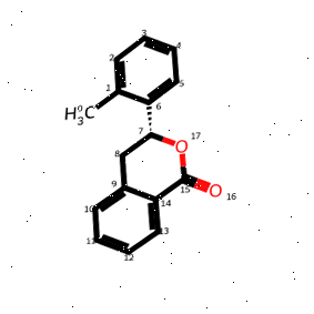 Cc1ccccc1[C@H]1Cc2ccccc2C(=O)O1